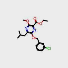 CCOC(=O)c1nc(OCc2cccc(Cl)c2)c(CC(C)C)nc1OC